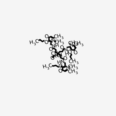 CCCCOc1c(CNC(=O)CCC(CCC(=O)NCc2c(OCCCC)c(=O)cc(C)n2C)(CCC(=O)NCc2c(OCCCC)c(=O)cc(C)n2C)NC(C)=O)n(C)c(C)cc1=O